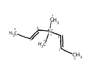 CC=C[N+](C)(C)C=CC